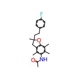 CC(=O)Nc1c(C)c(C)c2c(c1C)CC(C)(CCc1ccc(F)cc1)O2